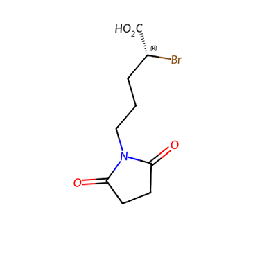 O=C(O)[C@H](Br)CCCN1C(=O)CCC1=O